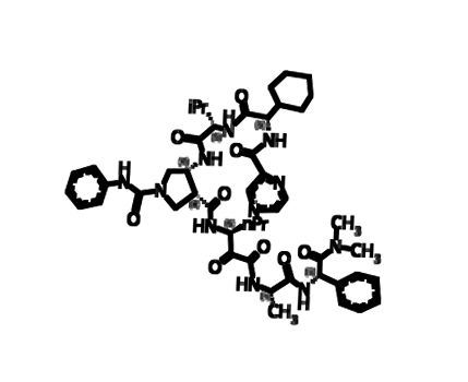 CCC[C@H](NC(=O)[C@@H]1CN(C(=O)Nc2ccccc2)C[C@@H]1NC(=O)[C@@H](NC(=O)[C@@H](NC(=O)c1cnccn1)C1CCCCC1)C(C)C)C(=O)C(=O)N[C@@H](C)C(=O)N[C@H](C(=O)N(C)C)c1ccccc1